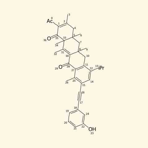 CC(=O)C1=C(C)CC2(C)CC3(C)Cc4c(C(C)C)cc(C#Cc5cccc(O)c5)c(C)c4C(=O)C3=C(C)C2(C)C1=O